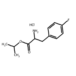 CC(C)OC(=O)C(N)Cc1ccc(F)cc1.Cl